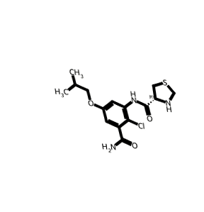 CC(C)COc1cc(NC(=O)[C@@H]2CSCN2)c(Cl)c(C(N)=O)c1